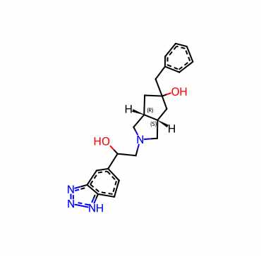 OC(CN1C[C@@H]2CC(O)(Cc3ccccc3)C[C@@H]2C1)c1ccc2[nH]nnc2c1